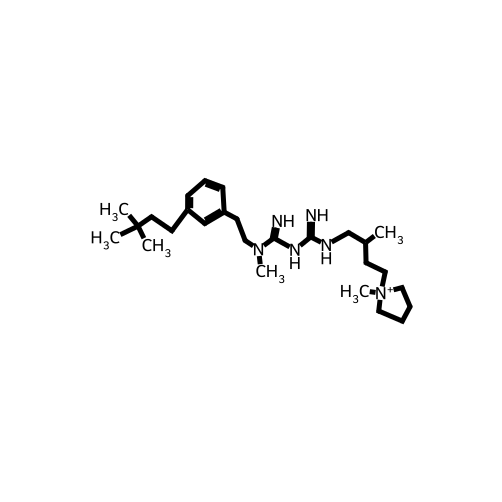 CC(CC[N+]1(C)CCCC1)CNC(=N)NC(=N)N(C)CCc1cccc(CCC(C)(C)C)c1